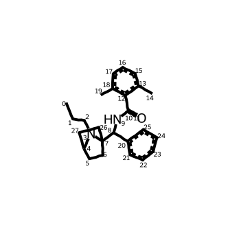 CCCN1C2CCC1(C(NC(=O)c1c(C)cccc1C)c1ccccc1)CC2